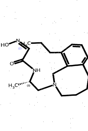 CCCc1cccc2c1CN(C[C@H](C)NC(=O)/C=N\O)CCCC2